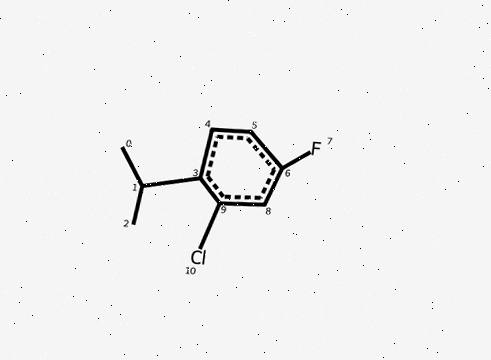 CC(C)c1ccc(F)cc1Cl